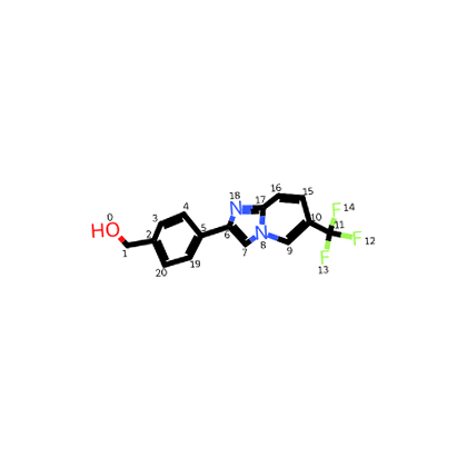 OCc1ccc(-c2cn3cc(C(F)(F)F)ccc3n2)cc1